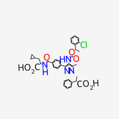 CC(C(=O)O)c1ccccc1.Cc1c(NC(=O)OC(C)c2ccccc2Cl)c(-c2ccc(C(=O)NC(CC3CC3)C(=O)O)cc2)nn1C